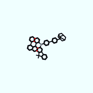 CC1(C)c2ccccc2-c2cc(N(c3ccc(-c4ccc(C56CC7CC(CC(C7)C5)C6)cc4)cc3)c3ccccc3-c3cccc4cccc(-c5ccccc5)c34)ccc21